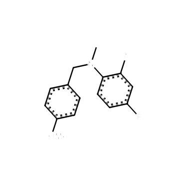 COc1ccc(CN(C)c2ccc(F)cc2C(C)=O)cc1